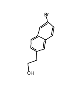 OCCc1ccc2cc(Br)ccc2c1